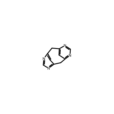 c1nc2cc(n1)Cc1cc(ncn1)C2